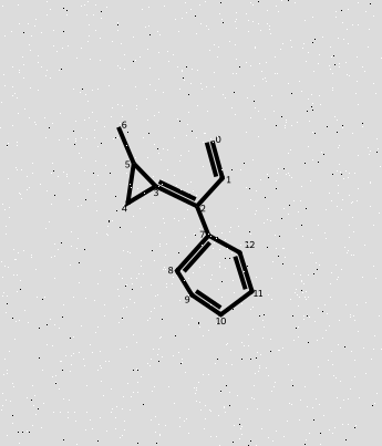 C=CC(=C1CC1C)c1ccccc1